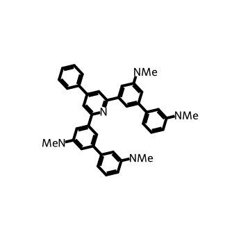 CNc1cccc(-c2cc(NC)cc(-c3cc(-c4ccccc4)cc(-c4cc(NC)cc(-c5cccc(NC)c5)c4)n3)c2)c1